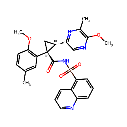 COc1ccc(C)cc1[C@]1(C(=O)NS(=O)(=O)c2cccc3ncccc23)C[C@@H]1c1cnc(OC)c(C)n1